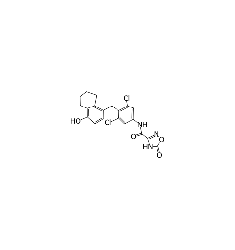 O=C(Nc1cc(Cl)c(Cc2ccc(O)c3c2CCCC3)c(Cl)c1)c1noc(=O)[nH]1